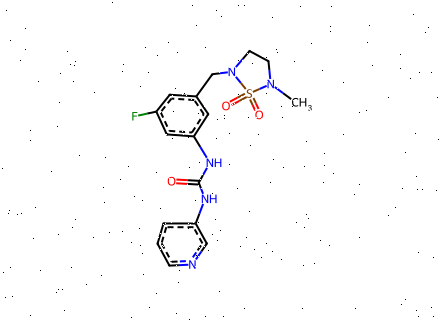 CN1CCN(Cc2cc(F)cc(NC(=O)Nc3cccnc3)c2)S1(=O)=O